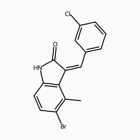 Cc1c(Br)ccc2c1C(=Cc1cccc(Cl)c1)C(=O)N2